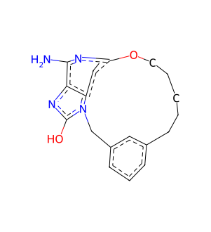 Nc1nc2cc3c1nc(O)n3Cc1cccc(c1)CCCCCO2